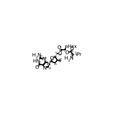 CCCCCCC(OC(=O)[C@@H](N)C(C)C)C(=O)OC[C@H]1O[C@@H](n2cnc3c(=O)[nH]c(N)nc32)CC1F